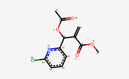 C=C(C(=O)OC)C(OC(C)=O)c1cccc(Cl)n1